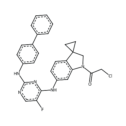 O=C(CCl)N1CC2(CC2)c2ccc(Nc3nc(Nc4ccc(-c5ccccc5)cc4)ncc3F)cc21